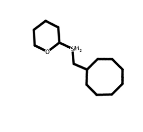 C1CCCC(C[SiH2]C2CCCCO2)CCC1